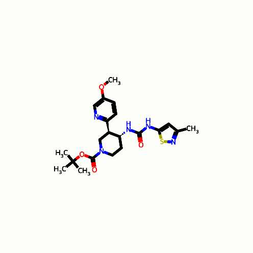 COc1ccc([C@@H]2CN(C(=O)OC(C)(C)C)CC[C@H]2NC(=O)Nc2cc(C)ns2)nc1